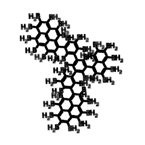 Bc1c(B)c(-c2c(B)c(-c3c(B)c(B)c(B)c(-c4c(B)c(B)c5c(B)c(B)c6c(B)c(B)c(B)c7c(B)c(B)c4c5c67)c3B)c(B)c(-c3c(B)c(B)c(B)c4c(B)c(B)c(B)c(B)c34)c2B)c(B)c(-c2c(B)c(B)c3c(B)c(B)c4c(B)c(B)c(B)c5c(B)c(B)c2c3c45)c1B